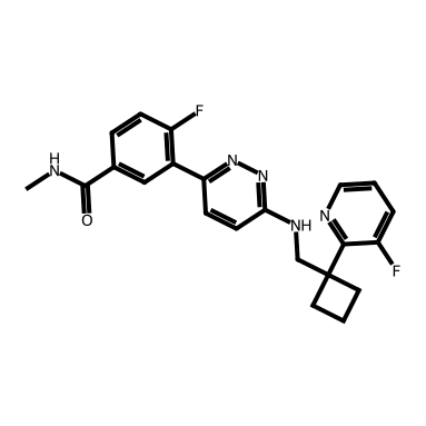 CNC(=O)c1ccc(F)c(-c2ccc(NCC3(c4ncccc4F)CCC3)nn2)c1